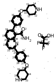 NC(=O)c1c(-c2ccc(OC3CCNCC3)cc2)ccc2ccc(-c3ccc(OC4CCNCC4)cc3)nc12.O=C(O)C(F)(F)F